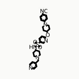 [C-]#[N+]c1ccc(N2CCC(Oc3ccc(S(=O)(=O)NC4CCN(Cc5ccncc5)CC4)cn3)CC2)cc1